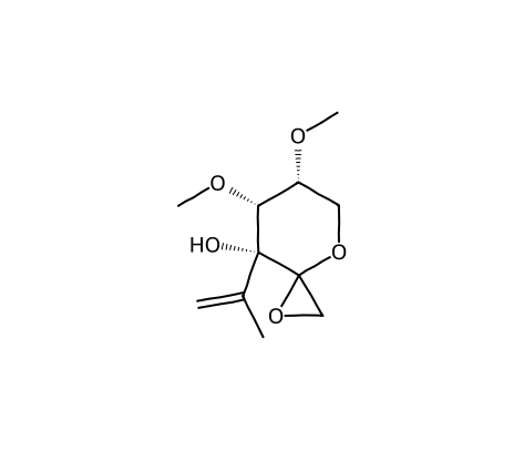 C=C(C)[C@@]1(O)[C@H](OC)[C@H](OC)COC12CO2